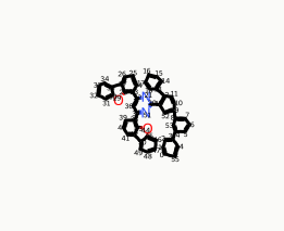 c1ccc(-c2cccc(-c3ccc(-c4ccccc4)c(-c4nc(-c5cccc6c5oc5ccccc56)cc(-c5cccc6c5oc5ccccc56)n4)c3)c2)cc1